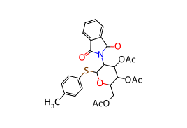 CC(=O)OCC1OC(Sc2ccc(C)cc2)C(N2C(=O)c3ccccc3C2=O)C(OC(C)=O)C1OC(C)=O